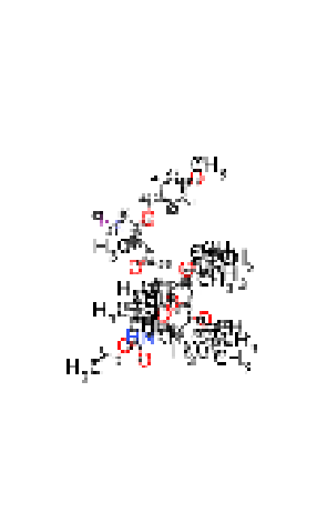 C=CCOC(=O)NC[C@@H](C[C@H](O[Si](C)(C)C(C)(C)C)[C@@H]1C[C@H](O[Si](C)(C)C(C)(C)C)[C@H]([C@@H](C)CC(=O)C[C@H](C)[C@@H](/C=C/I)OCc2ccc(OC)cc2)O1)O[Si](C)(C)C(C)(C)C